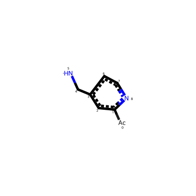 CC(=O)c1cc(C[NH])ccn1